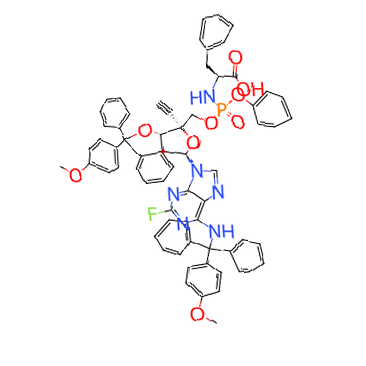 C#C[C@]1(COP(=O)(N[C@@H](Cc2ccccc2)C(=O)O)Oc2ccccc2)O[C@@H](n2cnc3c(NC(c4ccccc4)(c4ccccc4)c4ccc(OC)cc4)nc(F)nc32)C[C@@H]1OC(c1ccccc1)(c1ccccc1)c1ccc(OC)cc1